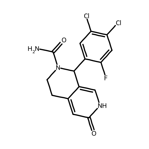 NC(=O)N1CCc2cc(=O)[nH]cc2C1c1cc(Cl)c(Cl)cc1F